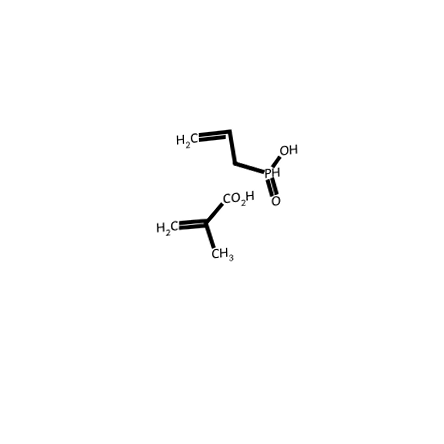 C=C(C)C(=O)O.C=CC[PH](=O)O